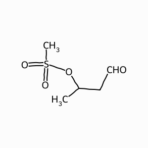 CC(CC=O)OS(C)(=O)=O